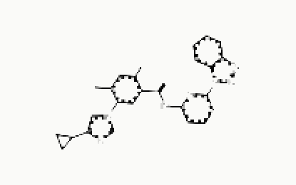 Cc1cc(F)c(C(=O)Nc2cccc(-n3nnc4ccccc43)n2)cc1-n1cnc(C2CC2)c1